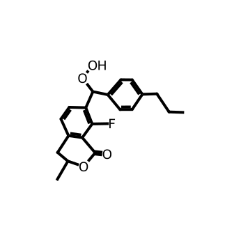 CCCc1ccc(C(OO)c2ccc3c(c2F)C(=O)OC(C)C3)cc1